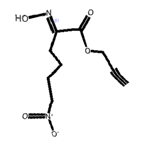 C#CCOC(=O)/C(CCCC[N+](=O)[O-])=N/O